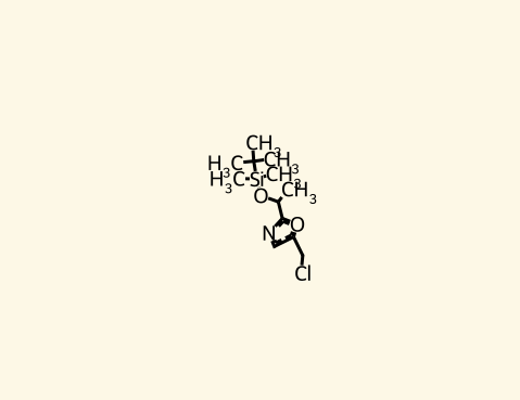 CC(O[Si](C)(C)C(C)(C)C)c1ncc(CCl)o1